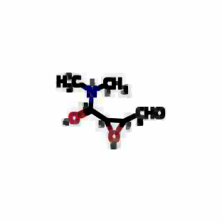 CN(C)C(=O)C1OC1C=O